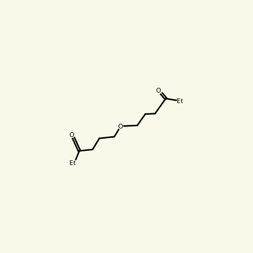 CCC(=O)CCCOCCCC(=O)CC